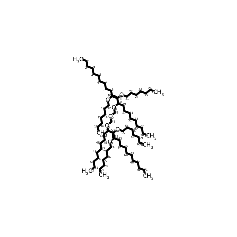 CCCCCCCCCCC(OCCCCCCC)=C(OCCCCCCC)C(CCCCCCCCC)OCOCOC(CCCCCCCCC)C(OCCCCCCC)=C(CCCCCCCCCC)OCCCCCCC